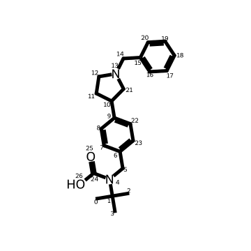 CC(C)(C)N(Cc1ccc(C2CCN(Cc3ccccc3)C2)cc1)C(=O)O